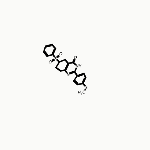 CSc1ccc(-c2nc3c(c(=O)[nH]2)CC(S(=O)(=O)c2ccccc2)CC3)cc1